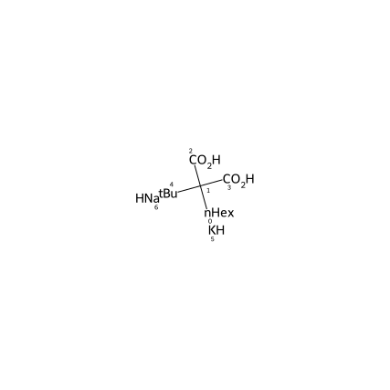 CCCCCCC(C(=O)O)(C(=O)O)C(C)(C)C.[KH].[NaH]